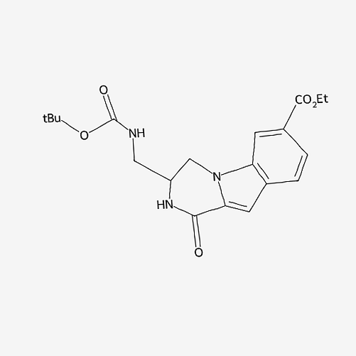 CCOC(=O)c1ccc2cc3n(c2c1)CC(CNC(=O)OC(C)(C)C)NC3=O